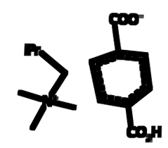 CC(C)C[N+](C)(C)C.O=C([O-])c1ccc(C(=O)O)cc1